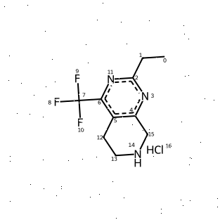 CCc1nc2c(c(C(F)(F)F)n1)CCNC2.Cl